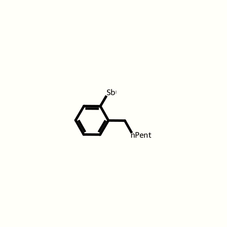 CCCCCCc1cccc[c]1[Sb]